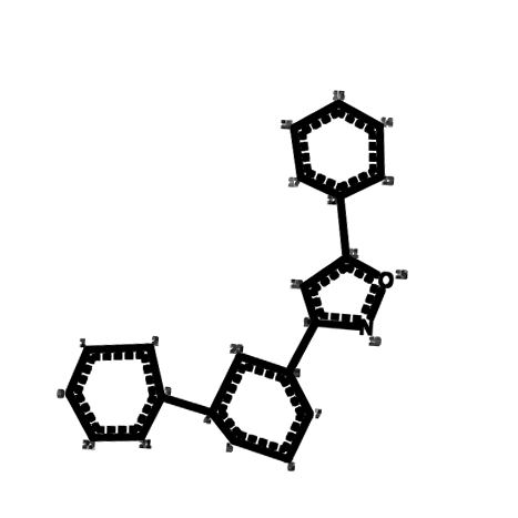 c1ccc(-c2cccc(-c3cc(-c4ccccc4)on3)c2)cc1